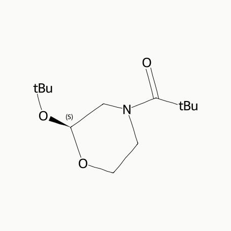 CC(C)(C)O[C@H]1CN(C(=O)C(C)(C)C)CCO1